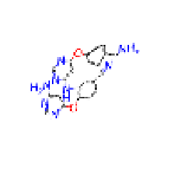 N#Cc1ccc(Oc2cc(N)ncn2)c(Nc2cc(Oc3ccc(CN)cc3)ncn2)c1